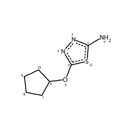 Nc1nnc(OC2CCCC2)s1